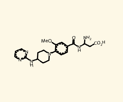 COc1cc(C(=O)NC(N)CC(=O)O)ccc1N1CCC(Nc2ncccn2)CC1